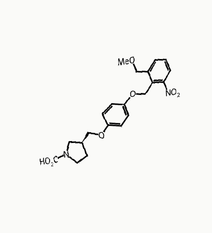 COCc1cccc([N+](=O)[O-])c1COc1ccc(OC[C@H]2CCN(C(=O)O)C2)cc1